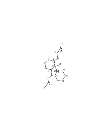 COCCN1CCCN(CCOC)C1(C)N1CCCCC1